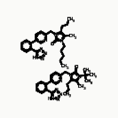 CCCCCn1c(C)c(CCC)n(Cc2ccc(-c3ccccc3-c3nnn[nH]3)cn2)c1=O.CCCc1c(C)n(C(C)(C)C)c(=O)n1Cc1ccc(-c2ccccc2-c2nnn[nH]2)cn1